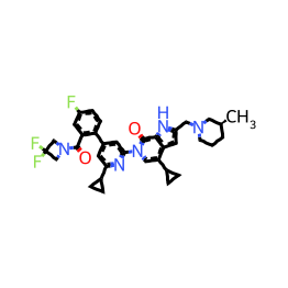 C[C@H]1CCCN(Cc2cc3c(C4CC4)cn(-c4cc(-c5ccc(F)cc5C(=O)N5CC(F)(F)C5)cc(C5CC5)n4)c(=O)c3[nH]2)C1